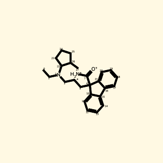 CCN(CCCC1(C(N)=O)c2ccccc2-c2ccccc21)C1CCCC1C